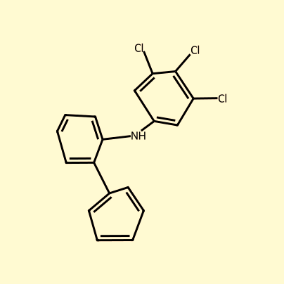 Clc1cc(Nc2ccccc2-c2ccccc2)cc(Cl)c1Cl